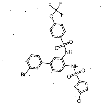 O=S(=O)(Nc1cc(-c2cccc(Br)c2)ccc1NS(=O)(=O)c1ccc(Cl)s1)c1ccc(OC(F)(F)F)cc1